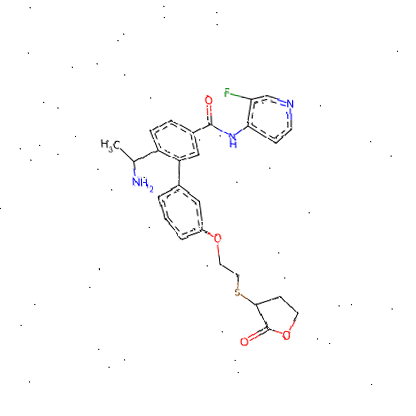 CC(N)c1ccc(C(=O)Nc2ccncc2F)cc1-c1cccc(OCCSC2CCOC2=O)c1